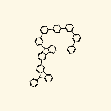 c1ccc(-c2cccc(-c3cccc(-c4ccc(-c5cccc(-c6cccc(-n7c8ccccc8c8cc(-c9ccc%10c(c9)c9ccccc9n%10-c9ccccc9)ccc87)c6)c5)cc4)c3)c2)cc1